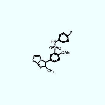 COc1ccc(C2C(C)N=C3SC=CN32)cc1S(=O)(=O)Nc1ccc(F)cc1